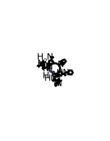 C=C(N)c1cc2c3c(c1)nc(NC(=C)c1cc(C)nn1CC)n3C/C=C/Cn1c(NC(=C)c3cc(C)nn3CC)nc3cc(C(=C)NC4CCCCC4)cc(c31)CCC(N1CC3CCC(C3)C1)CC2